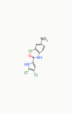 O=C(Nc1ccc([N+](=O)[O-])cc1Cl)c1cc(Cl)c(Cl)[nH]1